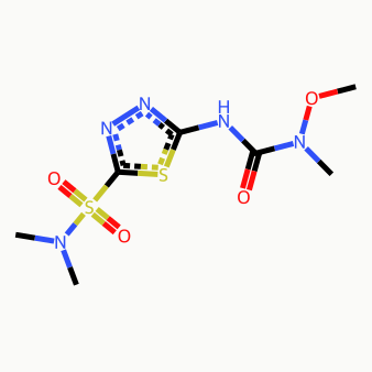 CON(C)C(=O)Nc1nnc(S(=O)(=O)N(C)C)s1